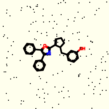 Oc1cccc(CC2CCC=C2c2nc(-c3ccccc3)c(-c3ccccc3)o2)c1